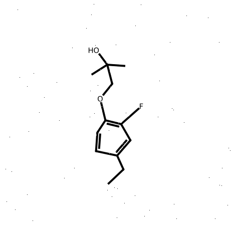 CCc1ccc(OCC(C)(C)O)c(F)c1